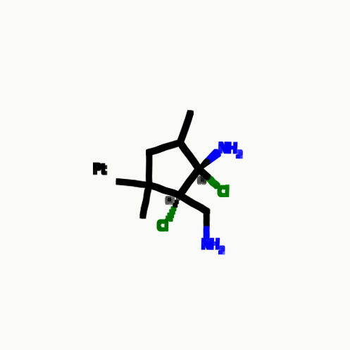 CC1CC(C)(C)[C@](Cl)(CN)[C@@]1(N)Cl.[Pt]